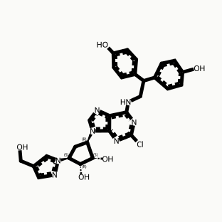 OCc1cnn([C@H]2C[C@@H](n3cnc4c(NCC(c5ccc(O)cc5)c5ccc(O)cc5)nc(Cl)nc43)[C@H](O)[C@@H]2O)c1